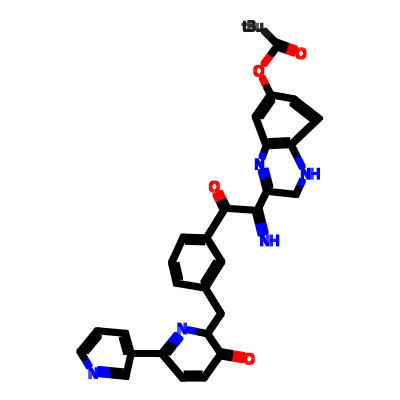 CC(C)(C)C(=O)Oc1ccc2c(c1)N=C(C(=N)C(=O)c1cccc(CC3N=C(c4cccnc4)C=CC3=O)c1)CN2